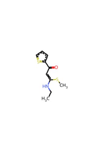 CCNC(=CC(=O)c1cccs1)SC